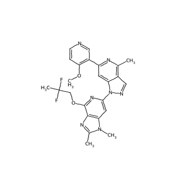 COc1ccncc1-c1cc2c(cnn2-c2cc3c(nc(C)n3C)c(OCC(C)(F)F)n2)c(C)n1